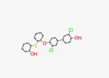 Oc1ccc(-c2ccc(Oc3ccccc3Sc3ccccc3O)c(Cl)c2)cc1Cl